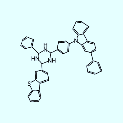 c1ccc(-c2ccc3c4ccccc4n(-c4ccc(C5NC(c6ccccc6)NC(c6ccc7c(c6)sc6ccccc67)N5)cc4)c3c2)cc1